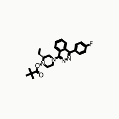 CC[C@H]1CN(c2nnc(-c3ccc(F)cc3)c3ccccc23)CCN1OC(=O)C(C)(C)C